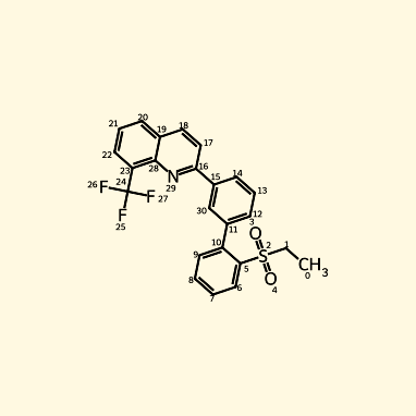 CCS(=O)(=O)c1ccccc1-c1cccc(-c2ccc3cccc(C(F)(F)F)c3n2)c1